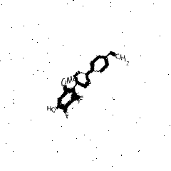 C=C[C@H]1CC[C@H]([C@H]2CC[C@H](c3c(OC)cc(O)c(F)c3F)CC2)CC1